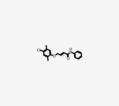 Cc1cc(OC/C=C/C(=O)Nc2ccccc2)c(C)cc1Cl